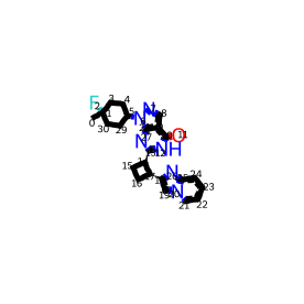 CC1(F)CCC(n2ncc3c(=O)[nH]c([C@H]4CC[C@H]4c4cn5ccccc5n4)nc32)CC1